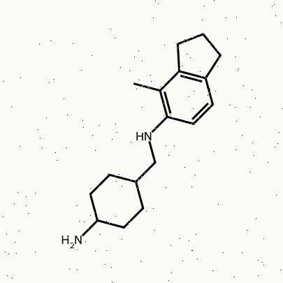 Cc1c(NCC2CCC(N)CC2)ccc2c1CCC2